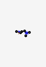 c1ccc(-c2nc(-c3ccccc3)nc(-c3cccc(-c4ccc5c(ccc6sc(-c7ccccc7)nc65)c4)c3)n2)cc1